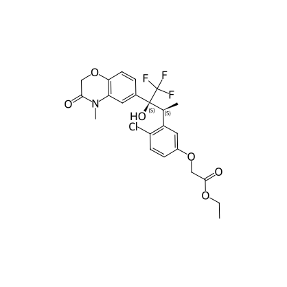 CCOC(=O)COc1ccc(Cl)c([C@H](C)[C@](O)(c2ccc3c(c2)N(C)C(=O)CO3)C(F)(F)F)c1